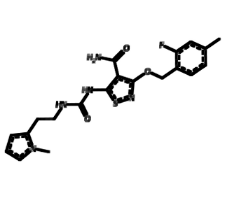 Cc1ccc(COc2nsc(NC(=O)NCCc3cccn3C)c2C(N)=O)c(F)c1